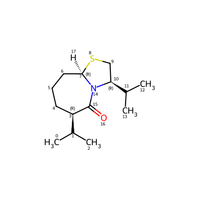 CC(C)[C@H]1CCC[C@H]2SC[C@@H](C(C)C)N2C1=O